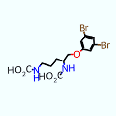 O=C(O)NCCC[C@@H](COc1cc(Br)cc(Br)c1)NC(=O)O